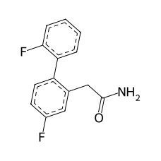 NC(=O)Cc1cc(F)ccc1-c1ccccc1F